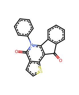 O=C1c2ccccc2-c2c1c1sccc1c(=O)n2-c1ccccc1